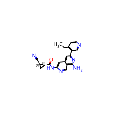 CCc1ccncc1-c1cc2cc(NC(=O)[C@H]3C[C@H]3C#N)ncc2c(N)n1